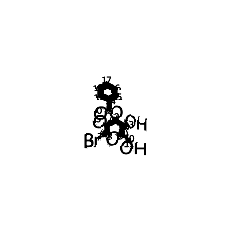 O=C(O[C@@H]1C(=O)[C@@H](Br)O[C@H](CO)[C@H]1O)c1ccccc1